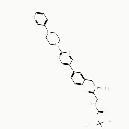 CN(Cc1cccc(-c2cnc(N3CCN(c4cccnc4)CC3)nc2)c1)C(=O)CNC(=O)OC(C)(C)C